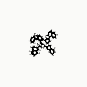 C1=CC2Oc3c(-c4ccc5oc6ccccc6c5c4-c4nc(-c5ccc6ccccc6c5)nc(-c5ccc6ccccc6c5)n4)cccc3C2c2ccccc21